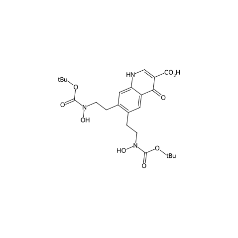 CC(C)(C)OC(=O)N(O)CCc1cc2[nH]cc(C(=O)O)c(=O)c2cc1CCN(O)C(=O)OC(C)(C)C